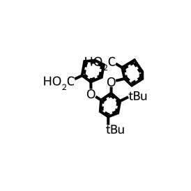 CC(C)(C)c1cc(Oc2ccccc2C(=O)O)c(Oc2ccccc2C(=O)O)c(C(C)(C)C)c1